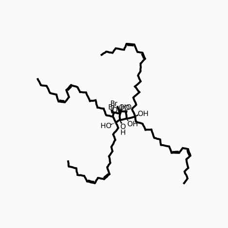 CCCCC/C=C\C/C=C\CCCCCCCCC(O)[C@](O)(CCCCCCCC/C=C\C/C=C\CCCCC)[C@](O)(C(=O)CBr)[C@@](O)(C(=O)CBr)[C@@](O)(CCCCCCCC/C=C\C/C=C\CCCCC)C(O)CCCCCCCC/C=C\C/C=C\CCCCC